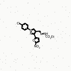 CCOC(=O)N/N=C/c1cn(-c2ccc(Cl)cc2)nc1-c1ccc([N+](=O)[O-])o1